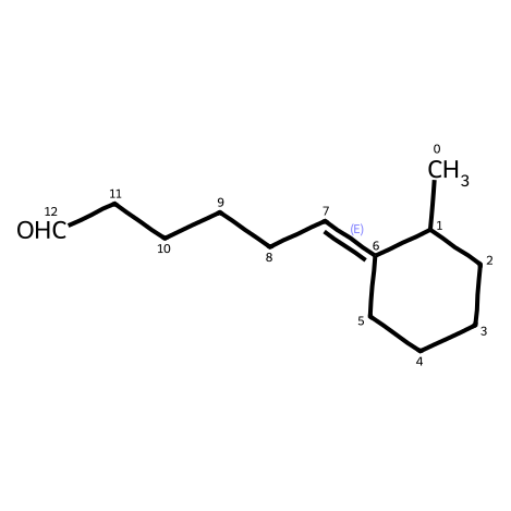 CC1CCCC/C1=C\CCCCC=O